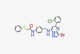 O=C(CSc1ccccc1)Nc1ccc(CNc2cc(-c3ccccc3Cl)nc3c(Br)cnn23)cc1